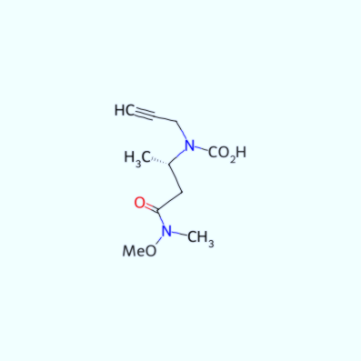 C#CCN(C(=O)O)[C@@H](C)CC(=O)N(C)OC